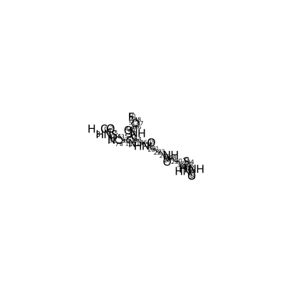 CC(=O)Nc1nc2ccc(-c3cnc(CCCNC(=O)CCCCCNC(=O)CCCC[C@@H]4SCC5NC(=O)N[C@@H]54)c(NC(=O)c4cccc(F)c4)c3)cc2s1